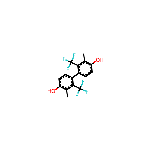 Cc1c(O)ccc(-c2ccc(O)c(C)c2C(F)(F)F)c1C(F)(F)F